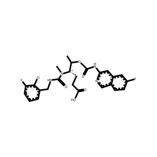 CC(OC(=O)Nc1cc2cc(F)ccc2cn1)[C@H](CCC(=O)O)N(C)C(=O)NCc1cccc(F)c1Cl